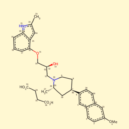 COc1ccc2cc([C@@H]3CCN(C[C@H](O)COc4cccc5[nH]c(C)cc45)[C@@H](C)C3)ccc2c1.O=C(O)CCC(=O)O